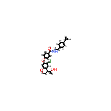 C=C(O)C1CCOc2cc(Oc3ccc(C(=O)NCCc4ccc(C5CC5)cc4)cc3)c(Cl)cc21